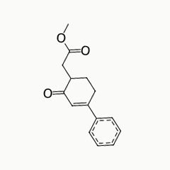 COC(=O)CC1CCC(c2ccccc2)=CC1=O